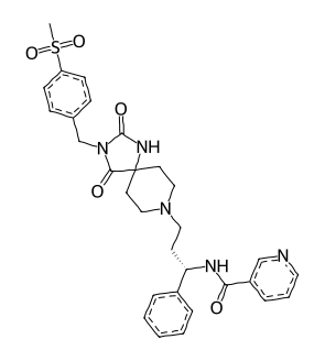 CS(=O)(=O)c1ccc(CN2C(=O)NC3(CCN(CC[C@H](NC(=O)c4cccnc4)c4ccccc4)CC3)C2=O)cc1